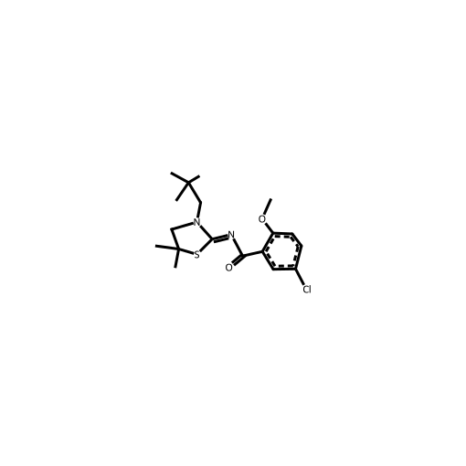 COc1ccc(Cl)cc1C(=O)N=C1SC(C)(C)CN1CC(C)(C)C